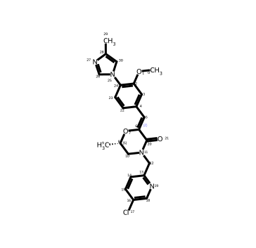 COc1cc(/C=C2\O[C@@H](C)CN(Cc3ccc(Cl)cn3)C2=O)ccc1-n1cnc(C)c1